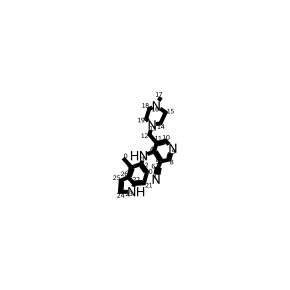 Cc1c(Nc2c(C#N)cncc2CN2CCN(C)CC2)ccc2[nH]ccc12